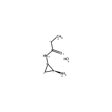 CCC(=O)NC1C[C@@H]1N.Cl